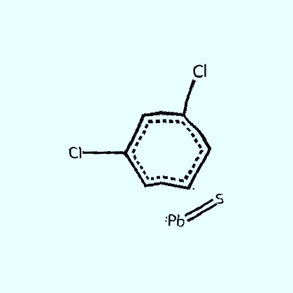 Clc1c[c]cc(Cl)c1.[S]=[Pb]